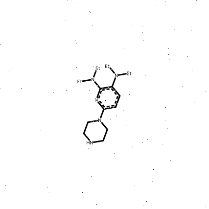 CCN(CC)c1ccc(N2CCNCC2)nc1N(CC)CC